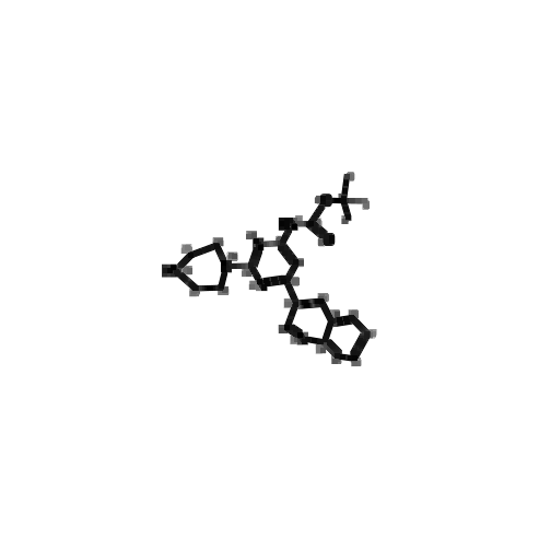 CC(C)(C)OC(=O)Nc1cc(-c2cnc3ccccc3c2)nc(N2CCNCC2)n1